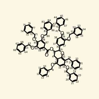 O=C(OC1Cc2c(OCc3ccccc3)cc(OCc3ccccc3)c(Cc3ccccc3)c2OC1c1ccc(OCc2ccccc2)c(OCc2ccccc2)c1)c1cc(OCc2ccccc2)c(OCc2ccccc2)c(OCc2ccccc2)c1